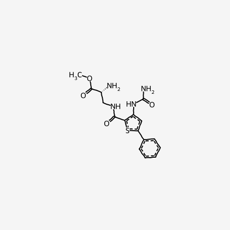 COC(=O)[C@H](N)CNC(=O)c1sc(-c2ccccc2)cc1NC(N)=O